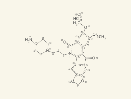 COc1cc2c3c(n(CCCN4CCC(N)CC4)c(=O)c2cc1OC)-c1cc2c(cc1C3=O)OCO2.Cl.Cl